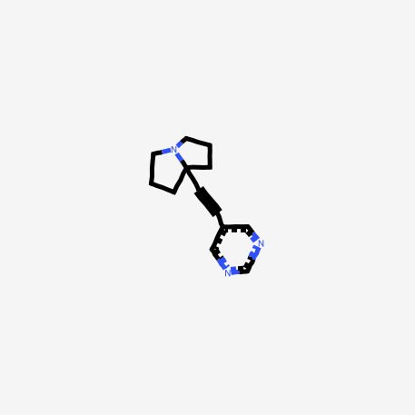 C(#CC12CCCN1CCC2)c1cncnc1